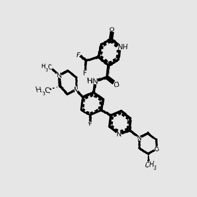 C[C@H]1CN(c2ccc(-c3cc(NC(=O)c4c[nH]c(=O)cc4C(F)F)c(N4CCN(C)[C@@H](C)C4)cc3F)cn2)CCO1